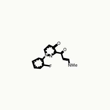 CNC=CC(=O)c1nn(-c2ccccc2F)ccc1=O